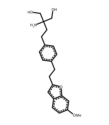 COc1ccc2cc(CCc3ccc(CCC(N)(CO)CO)cc3)oc2c1